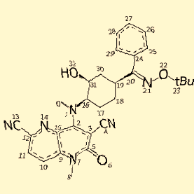 CN(c1c(C#N)c(=O)n(C)c2ccc(C#N)nc12)[C@@H]1CC[C@H](/C(=N/OC(C)(C)C)c2ccccc2)C[C@@H]1O